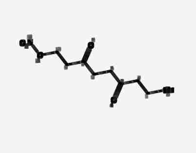 CC(C)(C)CCC(=O)CCC(=O)CCO[N+](=O)[O-]